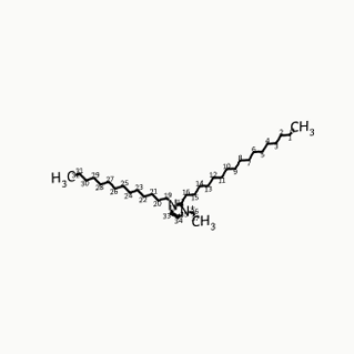 CCCCCCCCCCCCCCCCCc1n(CCCCCCCCCCCCCC)cc[n+]1CC